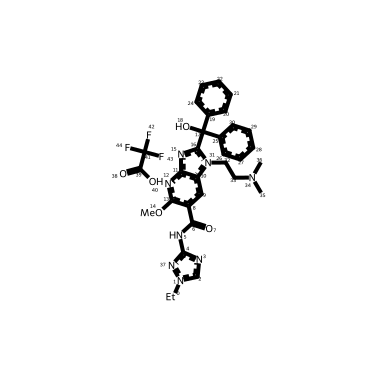 CCn1cnc(NC(=O)c2cc3c(nc2OC)nc(C(O)(c2ccccc2)c2ccccc2)n3CCN(C)C)n1.O=C(O)C(F)(F)F